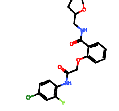 O=C(COc1ccccc1C(=O)NCC1CCCO1)Nc1ccc(Cl)cc1F